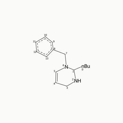 CCCCC1NCC=CN1Cc1ccccc1